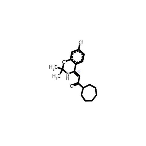 CC1(C)N/C(=C\C(=O)C2CCCCCC2)c2ccc(Cl)cc2O1